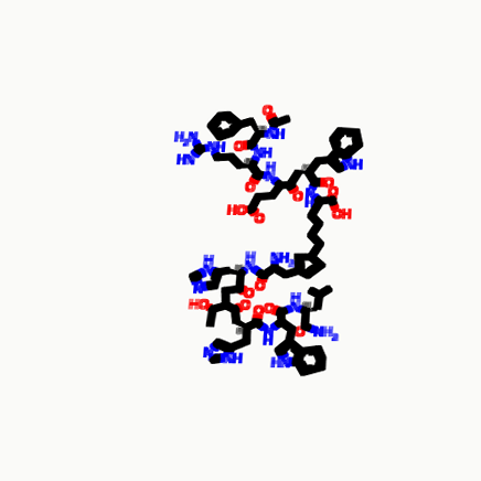 CC(=O)N[C@H](Cc1ccccc1)C(=O)N[C@H](CCCNC(=N)N)C(=O)NC(CCC(=O)O)C(=O)C[C@H](Cc1c[nH]c2ccccc12)C(=O)NC(CCCCC1C=CC(CC(N)C(=O)N[C@H](Cc2cnc[nH]2)C(=O)CC(C(=O)C[C@H](Cc2cnc[nH]2)C(=O)NC(Cc2c[nH]c3ccccc23)C(=O)N[C@H](CC(C)C)C(N)=O)C(C)O)=C1)C(=O)O